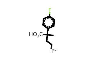 CC(C)CCC(C)(C(=O)O)c1ccc(F)cc1